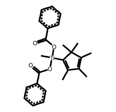 CC1=C(C)C(C)(C)[C]([Ti]([CH3])([O]C(=O)c2ccccc2)[O]C(=O)c2ccccc2)=C1C